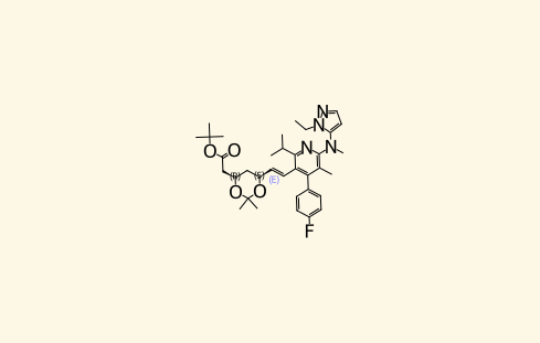 CCn1nccc1N(C)c1nc(C(C)C)c(/C=C/[C@@H]2C[C@H](CC(=O)OC(C)(C)C)OC(C)(C)O2)c(-c2ccc(F)cc2)c1C